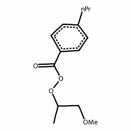 CCCc1ccc(C(=O)OO[C](C)COC)cc1